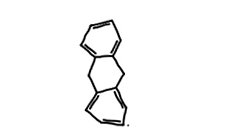 [c]1ccc2c(c1)Cc1ccccc1C2